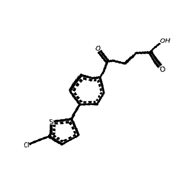 O=C(O)CCC(=O)c1ccc(-c2ccc(Cl)s2)cc1